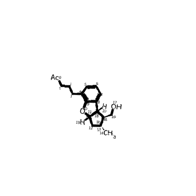 CC(=O)CCCc1cccc2c1O[C@H]1C[C@@H](C)[C@H](CO)[C@@H]21